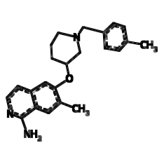 Cc1ccc(CN2CCCC(Oc3cc4ccnc(N)c4cc3C)C2)cc1